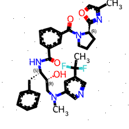 Cc1coc([C@H]2CCCN2C(=O)c2cccc(C(=O)N[C@@H](Cc3ccccc3)[C@H](O)CN(C)c3cncc(C(C)(F)F)c3)c2)n1